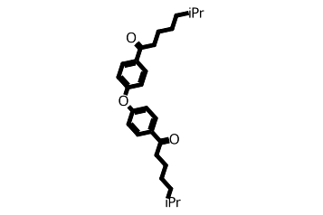 CC(C)CCCCC(=O)c1ccc(Oc2ccc(C(=O)CCCCC(C)C)cc2)cc1